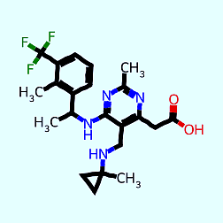 Cc1nc(CC(=O)O)c(CNC2(C)CC2)c(NC(C)c2cccc(C(F)(F)F)c2C)n1